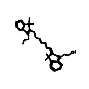 CCC[N+]1=C(/C=C/C=C/C=C/C=C2/N(CCO)c3ccccc3C2(C)C)C(C)(C)c2ccccc21